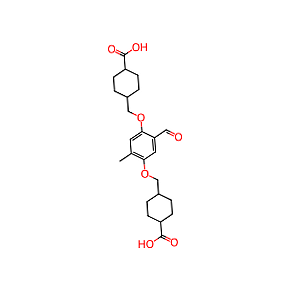 Cc1cc(OCC2CCC(C(=O)O)CC2)c(C=O)cc1OCC1CCC(C(=O)O)CC1